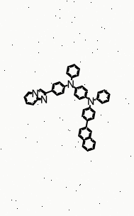 c1ccc(N(c2ccc(-c3ccc4ccccc4c3)cc2)c2ccc(N(c3ccccc3)c3ccc(-c4cn5ccccc5n4)cc3)cc2)cc1